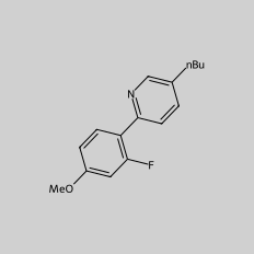 CCCCc1ccc(-c2ccc(OC)cc2F)nc1